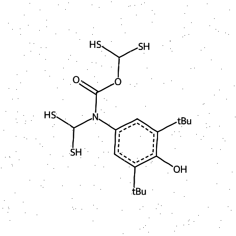 CC(C)(C)c1cc(N(C(=O)OC(S)S)C(S)S)cc(C(C)(C)C)c1O